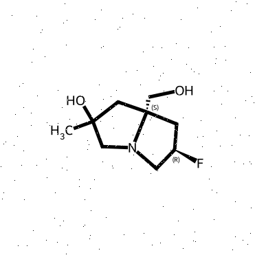 CC1(O)CN2C[C@H](F)C[C@]2(CO)C1